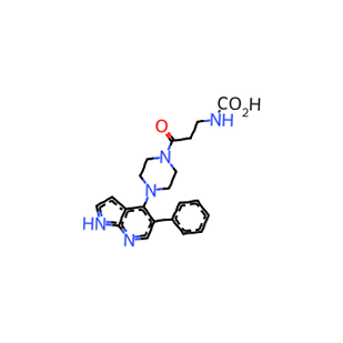 O=C(O)NCCC(=O)N1CCN(c2c(-c3ccccc3)cnc3[nH]ccc23)CC1